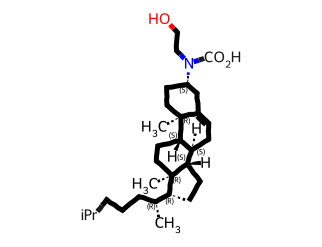 CC(C)CCC[C@@H](C)[C@H]1CC[C@H]2[C@@H]3CC=C4C[C@@H](N(CCO)C(=O)O)CC[C@]4(C)[C@H]3CC[C@]12C